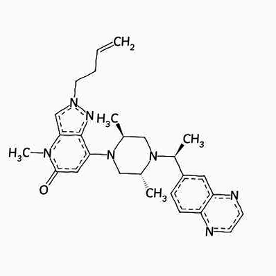 C=CCCn1cc2c(n1)c(N1C[C@@H](C)N([C@@H](C)c3ccc4nccnc4c3)C[C@@H]1C)cc(=O)n2C